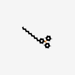 CCCCCCCCCCCCc1ccc(P(c2ccccc2)c2ccccc2)cc1